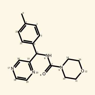 Cc1ccc(C(NC(=O)N2CCOCC2)c2cnccn2)cc1